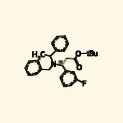 CC(c1ccccc1)N(Cc1ccccc1)[C@H](CC(=O)OC(C)(C)C)c1cccc(F)c1